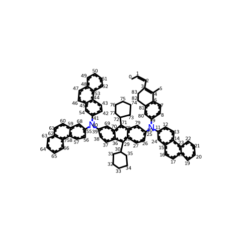 C/C=C\C1=C(C)c2ccc(N(c3ccc4c(ccc5ccccc54)c3)c3ccc4c(C5CCCCC5)c5ccc(N(c6ccc7c(ccc8ccccc87)c6)c6ccc7c(ccc8ccccc87)c6)cc5c(C5CCCCC5)c4c3)cc2CC1